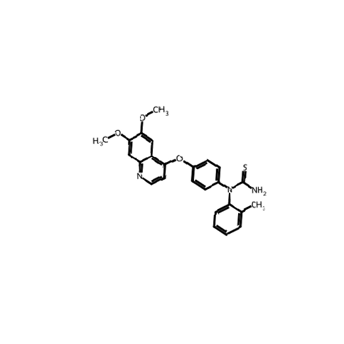 COc1cc2nccc(Oc3ccc(N(C(N)=S)c4ccccc4C)cc3)c2cc1OC